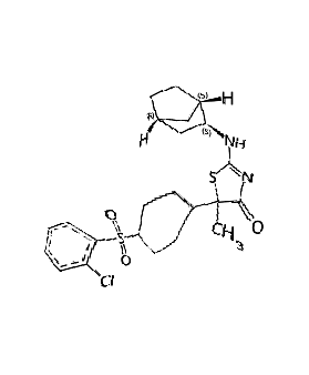 CC1(C2CCC(S(=O)(=O)c3ccccc3Cl)CC2)SC(N[C@H]2C[C@@H]3CC[C@H]2C3)=NC1=O